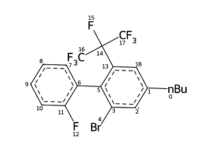 CCCCc1[c]c(Br)c(-c2ccccc2F)c(C(F)(C(F)(F)F)C(F)(F)F)c1